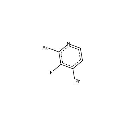 CC(=O)c1nccc(C(C)C)c1F